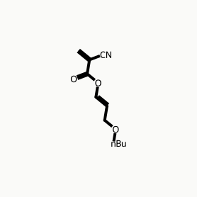 C=C(C#N)C(=O)OC=CCOCCCC